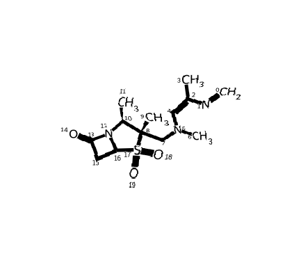 C=N/C(C)=C\N(C)C[C@@]1(C)[C@H](C)N2C(=O)CC2S1(=O)=O